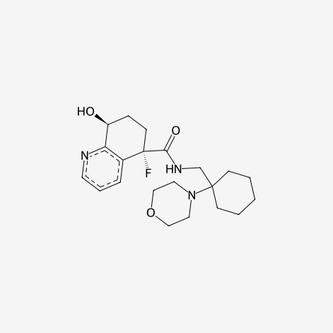 O=C(NCC1(N2CCOCC2)CCCCC1)[C@]1(F)CC[C@H](O)c2ncccc21